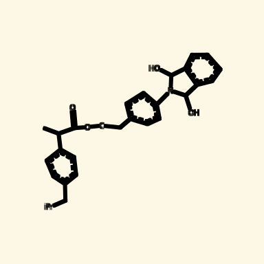 CC(C)Cc1ccc(C(C)C(=O)OCCc2ccc(N3C(O)c4ccccc4C3O)cc2)cc1